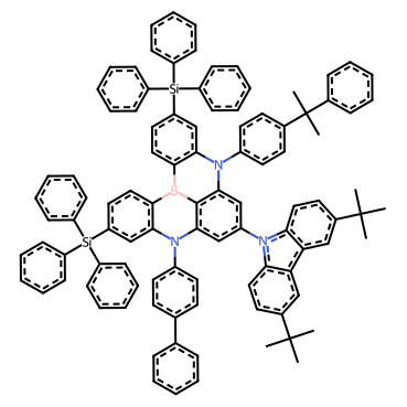 CC(C)(C)c1ccc2c(c1)c1cc(C(C)(C)C)ccc1n2-c1cc2c3c(c1)N(c1ccc(C(C)(C)c4ccccc4)cc1)c1cc([Si](c4ccccc4)(c4ccccc4)c4ccccc4)ccc1B3c1ccc([Si](c3ccccc3)(c3ccccc3)c3ccccc3)cc1N2c1ccc(-c2ccccc2)cc1